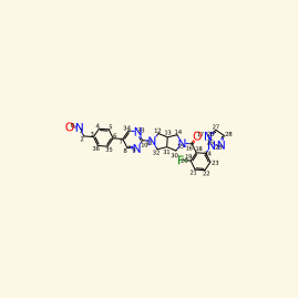 O=NCc1ccc(-c2cnc(N3CC4CN(C(=O)c5c(F)cccc5-n5nccn5)CC4C3)nc2)cc1